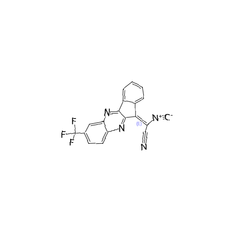 [C-]#[N+]/C(C#N)=C1\c2ccccc2-c2nc3cc(C(F)(F)F)ccc3nc21